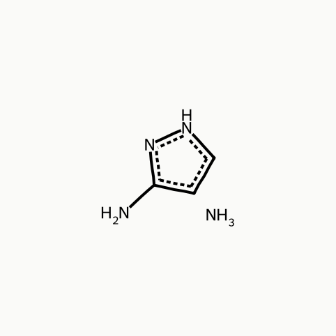 N.Nc1cc[nH]n1